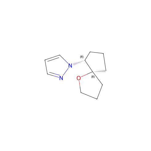 c1cnn([C@@H]2CCC[C@@]23CCCO3)c1